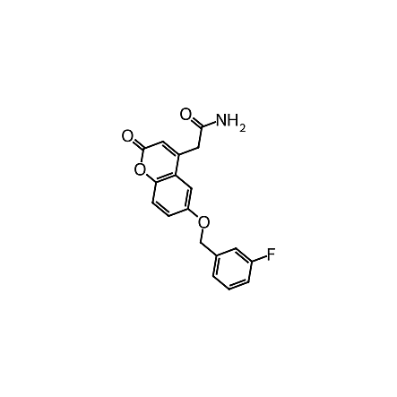 NC(=O)Cc1cc(=O)oc2ccc(OCc3cccc(F)c3)cc12